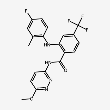 COc1ccc(NC(=O)c2ccc(C(F)(F)F)cc2Nc2ccc(F)cc2C)nn1